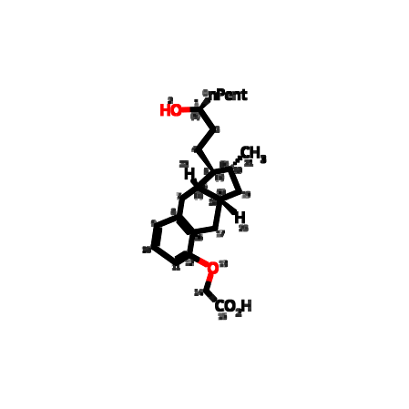 CCCCC[C@H](O)CC[C@@H]1[C@H]2Cc3cccc(OCC(=O)O)c3C[C@H]2C[C@H]1C